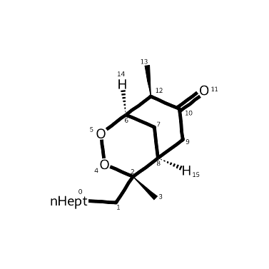 CCCCCCCC[C@]1(C)OO[C@@H]2C[C@H]1CC(=O)[C@@H]2C